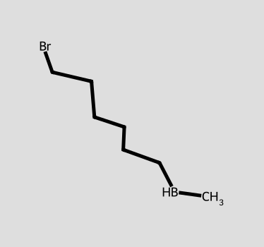 CBCCCCCCBr